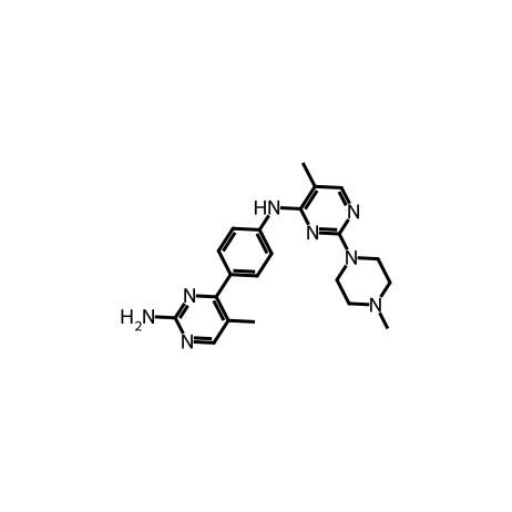 Cc1cnc(N2CCN(C)CC2)nc1Nc1ccc(-c2nc(N)ncc2C)cc1